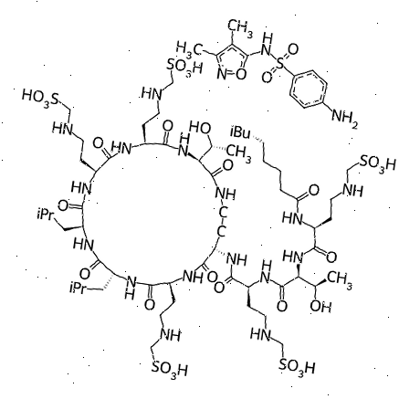 CC[C@@H](C)CCCCC(=O)N[C@@H](CCNCS(=O)(=O)O)C(=O)N[C@H](C(=O)N[C@@H](CCNCS(=O)(=O)O)C(=O)N[C@H]1CCNC(=O)[C@H]([C@@H](C)O)NC(=O)[C@H](CCNCS(=O)(=O)O)NC(=O)[C@H](CCNCS(=O)(=O)O)NC(=O)[C@H](CC(C)C)NC(=O)[C@@H](CC(C)C)NC(=O)[C@H](CCNCS(=O)(=O)O)NC1=O)[C@@H](C)O.Cc1noc(NS(=O)(=O)c2ccc(N)cc2)c1C